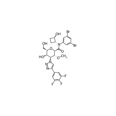 CO[C@@H]1[C@@H](n2cc(-c3cc(F)c(F)c(F)c3)nn2)[C@@H](O)[C@@H](CO)O[C@H]1C(=O)N(c1cc(Br)cc(Br)c1)[C@@H]1CC[C@H]1O